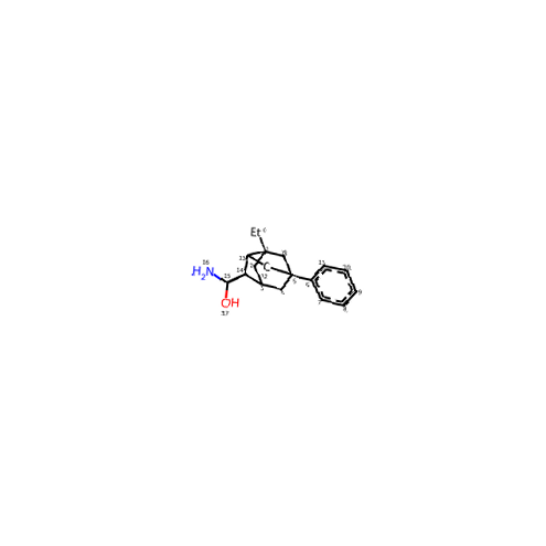 CCC12CC3CC(c4ccccc4)(CC1C3C(N)O)C2